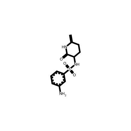 C=C1CCC(NS(=O)(=O)c2cccc(N)c2)C(=O)N1